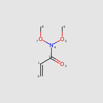 C=CC(=O)N(OC)OC